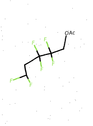 CC(=O)OCC(F)(F)C(F)(F)CC(F)F